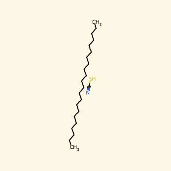 CCCCCCCCCCCCCCCCCCCCCC.N#CS